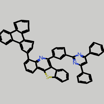 c1ccc(-c2cc(-c3ccccc3)nc(-c3cccc(-c4nc5c(-c6ccc7c8ccccc8c8ccccc8c7c6)cccc5c5sc6ccccc6c45)c3)n2)cc1